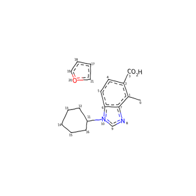 Cc1c(C(=O)O)ccc2c1ncn2C1CCCCC1.c1ccoc1